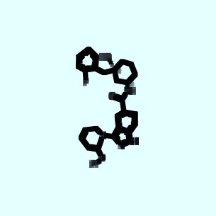 CC(C)OC1=CC=CCN1c1n[nH]c2ccc(C(=O)N[C@@H]3CCC[C@](O)(Cc4ccccc4F)C3)cc12